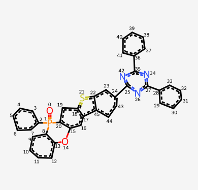 O=P1(c2ccccc2)c2ccccc2Oc2cc3c(cc21)sc1cc(-c2nc(-c4ccccc4)nc(-c4ccccc4)n2)ccc13